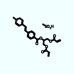 C=CC(=O)OCC(COC(=O)C=C)OC(=O)c1ccc(C=CC2=CCN(C)C=C2)cc1.CS(=O)(=O)O